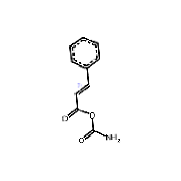 NC(=O)OC(=O)/C=C/c1ccccc1